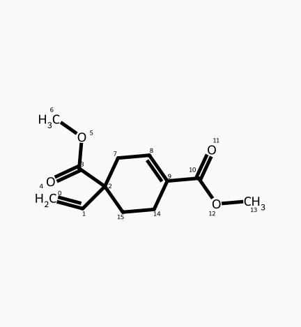 C=CC1(C(=O)OC)CC=C(C(=O)OC)CC1